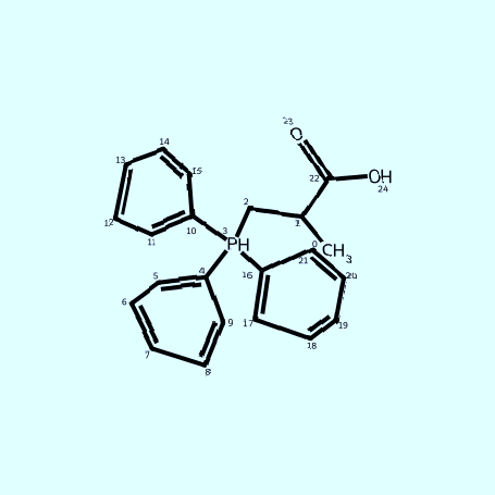 CC(C[PH](c1ccccc1)(c1ccccc1)c1ccccc1)C(=O)O